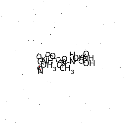 CC(C)N(CCCNCC(O)c1ccc(O)c2[nH]c(=O)ccc12)C(=O)c1ccc(COc2cccc(C(NC(=O)OC3CN4CCC3CC4)c3ccccc3)c2)cc1